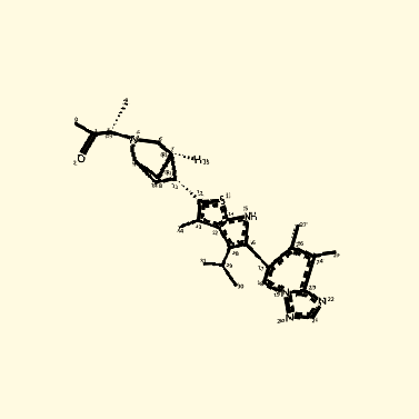 CC(=O)[C@H](C)N1C[C@@H]2CC1C[C@H]2c1sc2[nH]c(-c3cn4ncnc4c(C)c3C)c(C(C)C)c2c1C